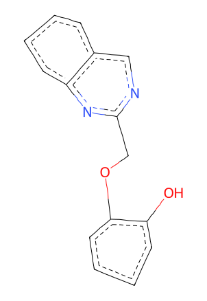 Oc1ccccc1OCc1ncc2ccccc2n1